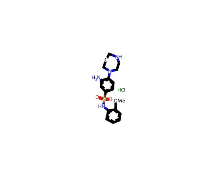 COc1ccccc1NS(=O)(=O)c1ccc(N2CCCNCC2)c(N)c1.Cl